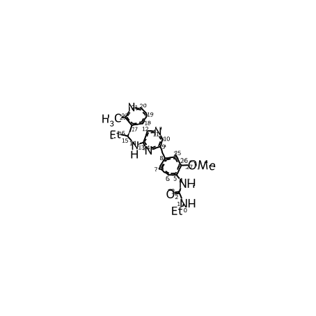 CCNC(=O)Nc1ccc(-c2cncc(NC(CC)c3cccnc3C)n2)cc1OC